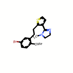 COc1ccc(Br)cc1CCc1sccc1C1=NCCN1C